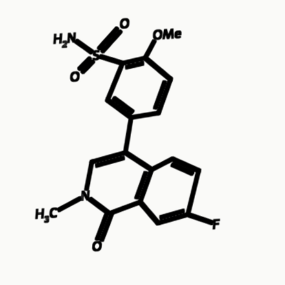 COc1ccc(-c2cn(C)c(=O)c3cc(F)ccc23)cc1S(N)(=O)=O